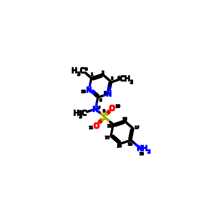 Cc1cc(C)nc(N(C)S(=O)(=O)c2ccc(N)cc2)n1